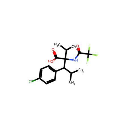 CC(C)C(c1ccc(Cl)cc1)C(NC(=O)C(F)(F)F)(C(=O)O)C(C)C